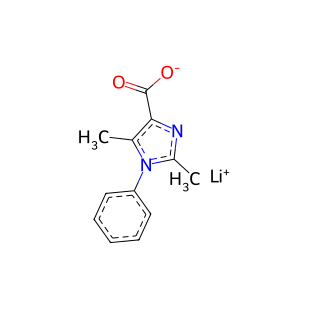 Cc1nc(C(=O)[O-])c(C)n1-c1ccccc1.[Li+]